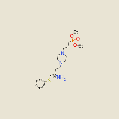 CCOP(=O)(CCCN1CCN(CC[C@@H](N)CSc2ccccc2)CC1)OCC